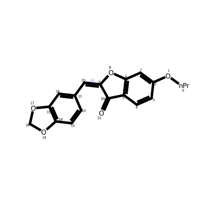 CCCOc1ccc2c(c1)O/C(=C/c1ccc3c(c1)OCO3)C2=O